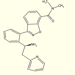 CN(C)C(=O)c1cccc2c(-c3ccccc3[C@@H](N)Cc3ccccn3)noc12